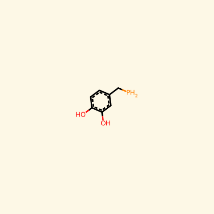 Oc1ccc(CP)cc1O